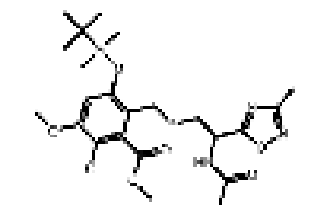 COC(=O)c1c(Cl)c(OC)cc(O[Si](C)(C)C(C)(C)C)c1CSCC(NC(C)=O)c1nc(C)no1